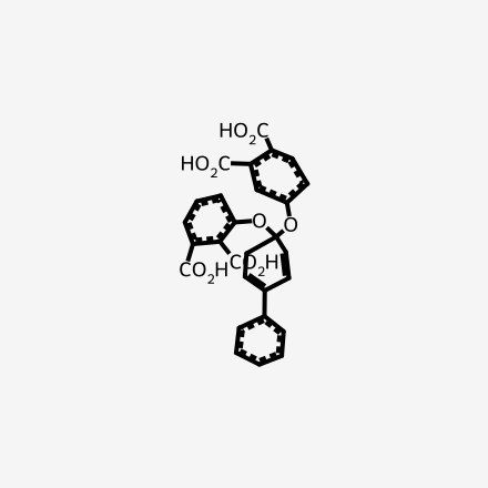 O=C(O)c1ccc(OC2(Oc3cccc(C(=O)O)c3C(=O)O)C=CC(c3ccccc3)=CC2)cc1C(=O)O